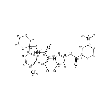 CN(C)C1CCCN(C(=O)Cc2cn3c(C(=O)NCC4(c5ccc(C(F)(F)F)cc5)CCCCC4)cccc3n2)C1